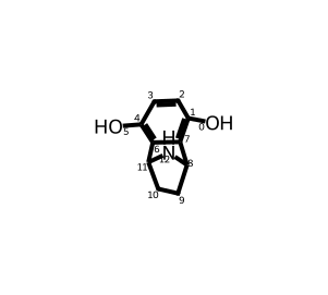 Oc1ccc(O)c2c1C1CCC2N1